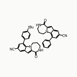 CC(C)(C)c1ccc(-c2cc(C#N)cc3cc4n(c23)CCCNC4=O)cc1.N#Cc1cc(-c2ccccc2)c2c(c1)cc1n2CCCNC1=O